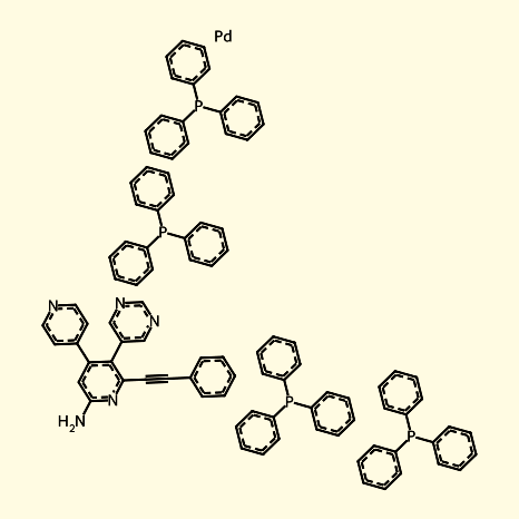 Nc1cc(-c2ccncc2)c(-c2cncnc2)c(C#Cc2ccccc2)n1.[Pd].c1ccc(P(c2ccccc2)c2ccccc2)cc1.c1ccc(P(c2ccccc2)c2ccccc2)cc1.c1ccc(P(c2ccccc2)c2ccccc2)cc1.c1ccc(P(c2ccccc2)c2ccccc2)cc1